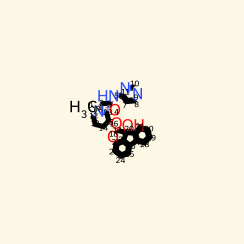 C[N@@+]1(CC(=O)Nc2ccncn2)CCCC(OC(=O)C2(O)c3ccccc3-c3ccccc32)C1